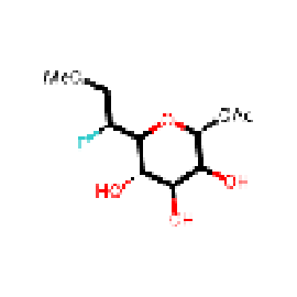 COC[C@H](F)C1O[C@@H](OC(C)=O)C(O)C(O)[C@@H]1O